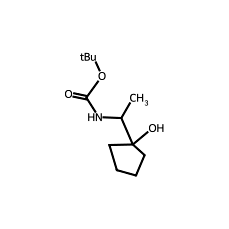 CC(NC(=O)OC(C)(C)C)C1(O)CCCC1